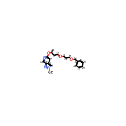 CC(=O)n1cc2cc(OC(C)CCOCCCOCc3ccccc3)ncc2n1